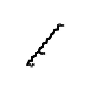 CCCCCCCCCCCCCCCCCCCCC(O)CCCCCC(=O)O